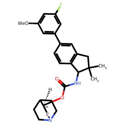 COc1cc(F)cc(-c2ccc3c(c2)CC(C)(C)C3NC(=O)O[C@H]2CN3CCC2CC3)c1